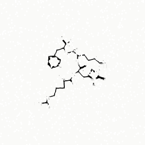 Cn1cc(CC(NC(=O)C(N)CCCNC(=N)N)C(=O)NC(CCCCN)C(=O)NC(Cc2ccccc2)C(N)=O)n(C)c1=S